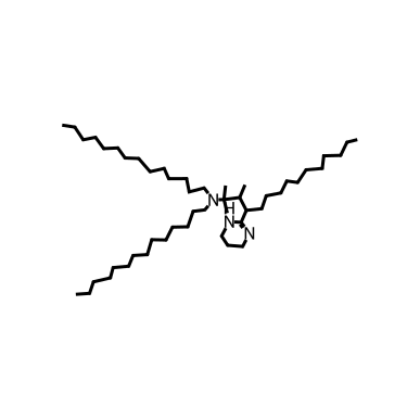 CCCCCCCCCCCCCCN(CCCCCCCCCCCCCC)C(C)(C)C(C)C(CCCCCCCCCCC)C1=NCCCN1